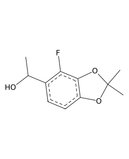 CC(O)c1ccc2c(c1F)OC(C)(C)O2